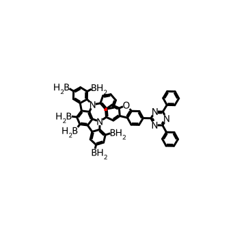 Bc1cc(B)c2c(c1)c1c(B)c(B)c3c4cc(B)cc(B)c4n(-c4ccc5oc6cc(-c7nc(-c8ccccc8)nc(-c8ccccc8)n7)ccc6c5c4)c3c1n2-c1ccccc1